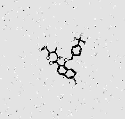 CC(NC(=O)c1ccc2cc(F)ccc2c1OCc1ccc(C(F)(F)F)cc1)C(=O)N=O